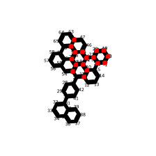 c1ccc(-c2ccccc2-c2ccccc2-c2ccccc2N(c2ccc(-c3ccc(-c4cccc5ccccc45)cc3)cc2)c2ccccc2-c2cccc3cccc(-c4ccccc4)c23)cc1